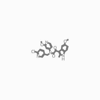 COc1ccc2[nH]c(C)c(C(=O)C(=O)N(Cc3ccc(Cl)nc3)c3ccnc(OC)c3)c2c1